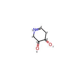 O=C1[C]N=CCC1=O